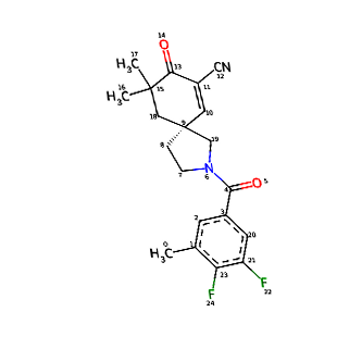 Cc1cc(C(=O)N2CC[C@]3(C=C(C#N)C(=O)C(C)(C)C3)C2)cc(F)c1F